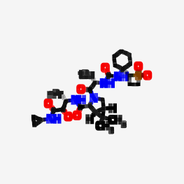 CCC[C@H](NC(=O)[C@@H]1[C@@H]2[C@H](CN1C(=O)[C@@H](NC(=O)NC1([C@H]3CCS3(=O)=O)CCCCC1)C(C)(C)C)C2(C)C)C(=O)C(=O)NC1CC1